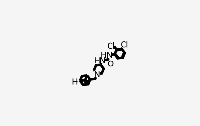 CC1(C)C2C[C@@H]1CC=C2CN1CCC(NC(=O)Nc2cccc(Cl)c2Cl)CC1